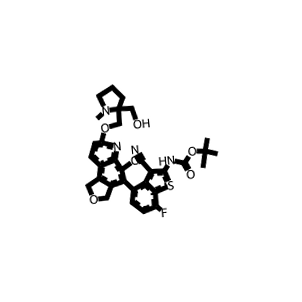 CN1CCCC1(CO)COc1ccc2c3c(c(-c4ccc(F)c5sc(NC(=O)OC(C)(C)C)c(C#N)c45)c(Cl)c2n1)COC3